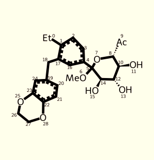 CCc1ccc(C2(OC)O[C@H](C(C)=O)[C@@H](O)[C@H](O)[C@H]2O)cc1Cc1ccc2c(c1)OCCO2